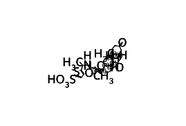 CC(NC(=O)C[C@@H](C)[C@H]1CC[C@H]2[C@@H]3C(=O)C[C@@H]4CC(=O)CC[C@]4(C)[C@H]3CC[C@]12C)c1ccc(S(=O)(=O)O)s1